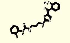 Cc1ccccc1C(=O)c1cnc(NCCCNC(=O)Nc2ccccc2F)s1